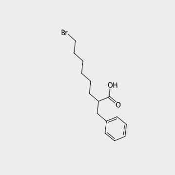 O=C(O)C(CCCCCCBr)Cc1ccccc1